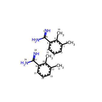 Cc1cccc(C(=N)N)c1C.Cc1cccc(C(=N)N)c1C